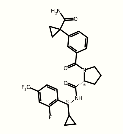 NC(=O)C1(c2cccc(C(=O)N3CCC[C@@H]3C(=O)N[C@@H](c3ccc(C(F)(F)F)cc3F)C3CC3)c2)CC1